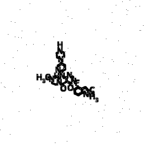 Cc1cc2c(F)c(Oc3ncnc(Nc4ccc(N5CCNCC5)cn4)c3C(=O)N3CCN(C)CC3)ccc2[nH]1